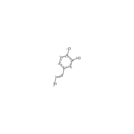 CC/C=C/c1ccc(Cl)c(Cl)c1